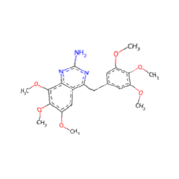 COc1cc(Cc2nc(N)nc3c(OC)c(OC)c(OC)cc23)cc(OC)c1OC